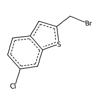 Clc1ccc2cc(CBr)sc2c1